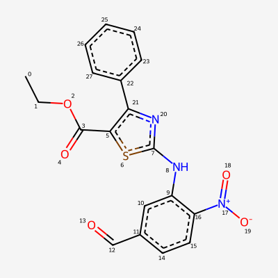 CCOC(=O)c1sc(Nc2cc(C=O)ccc2[N+](=O)[O-])nc1-c1ccccc1